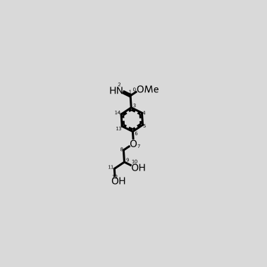 COC(=N)c1ccc(OCC(O)CO)cc1